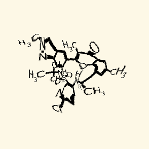 Cc1cc([C@@H](C)Nc2ccc(Cl)nc2S(=O)(=O)NC(C)(C)C)c2oc(-c3ccc4nn(C)cc4c3)c(C)c(=O)c2c1